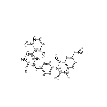 CNCc1ccc2c(c1)c(=O)n(-c1ccc(C[C@H](NC(=O)c3c(Cl)ccnc3Cl)C(=O)O)cc1)c(=O)n2C